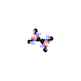 O=C(N/N=C/c1cc(-c2cc(/C=N/NC(=O)c3ccccn3)c(O)c(/C=N/NC(=O)c3ccccn3)c2)cc(/C=N/NC(=O)c2ccccn2)c1O)c1ccccn1